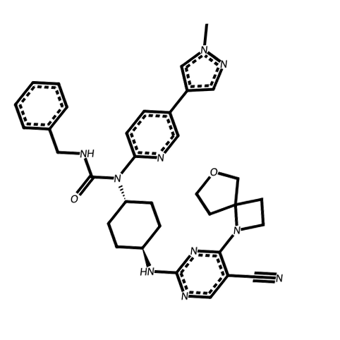 Cn1cc(-c2ccc(N(C(=O)NCc3ccccc3)[C@H]3CC[C@H](Nc4ncc(C#N)c(N5CCC56CCOC6)n4)CC3)nc2)cn1